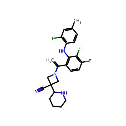 C=C(c1ccc(F)c(F)c1Nc1ccc(C)cc1F)N1CC(C#N)(C2CCCCN2)C1